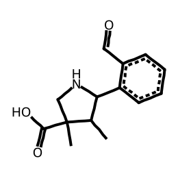 CC1C(c2ccccc2C=O)NCC1(C)C(=O)O